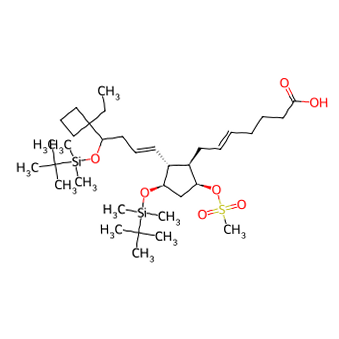 CCC1(C(C/C=C/[C@@H]2[C@@H](CC=CCCCC(=O)O)[C@@H](OS(C)(=O)=O)C[C@H]2O[Si](C)(C)C(C)(C)C)O[Si](C)(C)C(C)(C)C)CCC1